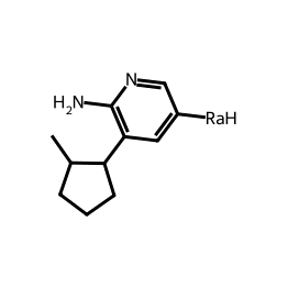 CC1CCCC1c1c[c]([RaH])cnc1N